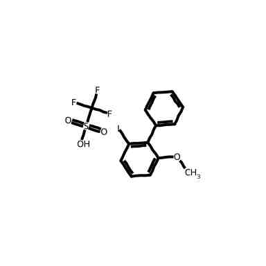 COc1cccc(I)c1-c1ccccc1.O=S(=O)(O)C(F)(F)F